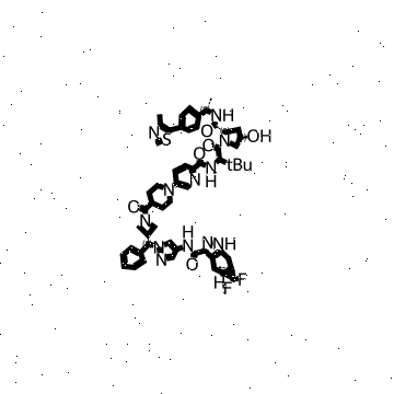 Cc1ncsc1-c1ccc([C@H](C)NC(=O)[C@@H]2C[C@@H](O)CN2C(=O)C(NC(=O)c2ccc(N3CCC(C(=O)N4CC([C@@H](c5ccccc5)n5cc(NC(=O)c6n[nH]c7c6C[C@@H]6C(F)(F)[C@]6(C)C7)cn5)C4)CC3)cn2)C(C)(C)C)cc1